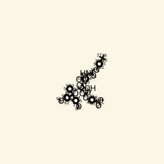 COc1ccc(C(OC[C@H]2O[C@@H](n3ccc(NC(=O)COc4ccc(C(C)(C)C)cc4)nc3=O)[C@H](O)[C@@H]2OC(=O)Oc2ccc([N+](=O)[O-])cc2)(c2ccccc2)c2ccc(OC)cc2)cc1